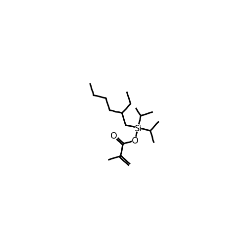 C=C(C)C(=O)O[Si](CC(CC)CCCC)(C(C)C)C(C)C